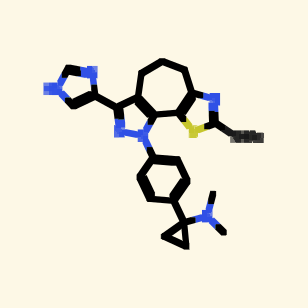 CC(=O)Nc1nc2c(s1)-c1c(c(-c3c[nH]cn3)nn1-c1ccc(C3(N(C)C)CC3)cc1)CCC2